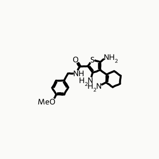 COc1ccc(CNC(=O)c2sc(N)c(C3=C(N)CCCC3)c2N)cc1